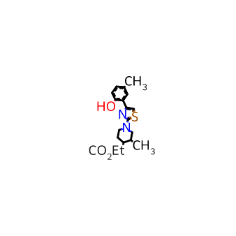 CCOC(=O)C1CCN(c2nc(-c3cc(C)ccc3O)cs2)CC1C